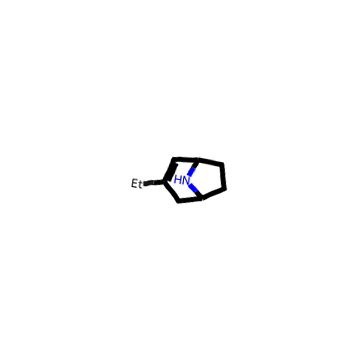 CCC1=CC2CCC(C1)N2